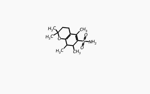 CC1=C(S(N)(=O)=O)C(C)C(C)C2=C1CCC(C)(C)O2